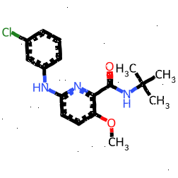 COc1ccc(Nc2cccc(Cl)c2)nc1C(=O)NC(C)(C)C